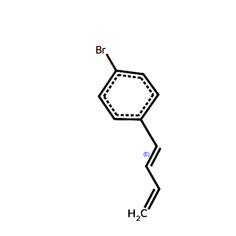 C=C/C=C/c1ccc(Br)cc1